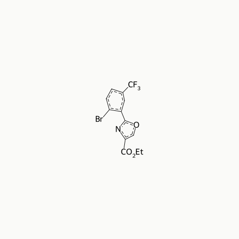 CCOC(=O)c1coc(-c2cc(C(F)(F)F)ccc2Br)n1